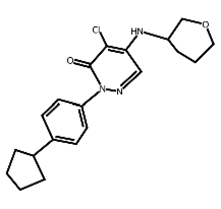 O=c1c(Cl)c(NC2CCCOC2)cnn1-c1ccc(C2CCCC2)cc1